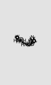 Cc1cncc2cccc(S(=O)(=O)N3CC[C@@H](NCCCNC(=O)Nc4ccccc4)C3)c12